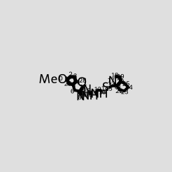 COc1cccc(Cc2n[nH]c(NCCSCc3nccc4c3CCCC4)nc2=O)c1